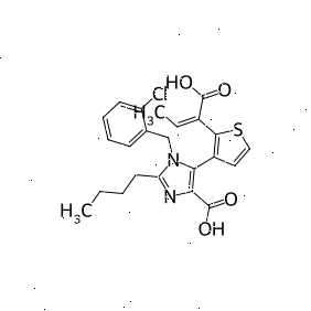 CC=C(C(=O)O)c1sccc1-c1c(C(=O)O)nc(CCCC)n1Cc1ccccc1Cl